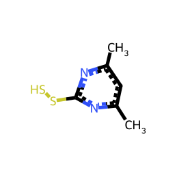 Cc1cc(C)nc(SS)n1